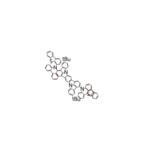 CC(C)(C)c1ccc2c(c1)c1c(N(c3ccccc3-c3ccccc3)c3cccc4c3sc3ccccc34)ccc3c4cc5c(cc4n2c31)c1ccc(N(c2ccccc2-c2ccccc2)c2cccc3c2sc2ccccc23)c2c3cc(C(C)(C)C)ccc3n5c12